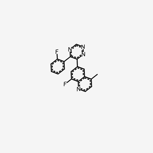 Cc1ccnc2c(F)cc(-c3nncnc3-c3ccccc3F)cc12